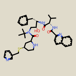 CC(C)[C@H](NC(=O)c1ccc2ccccc2n1)C(=O)N[C@@H](Cc1ccccc1)[C@H](O)CN(C(=O)C1C[C@H](SCc2cccnc2)CCN1)C(C)(C)C